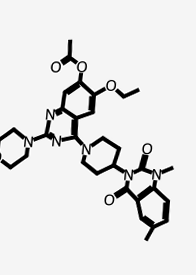 CCOc1cc2c(N3CCC(n4c(=O)c5cc(C)ccc5n(C)c4=O)CC3)nc(N3CCOCC3)nc2cc1OC(C)=O